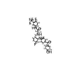 CC(C)(NCc1ccc(F)cc1Nc1ccc(C(=O)N2CCC(O)CC2)cc1)C(=O)Nc1ccc(F)c(C(F)(F)F)c1